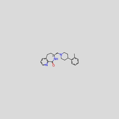 Cc1ccccc1C1CCN(C[C@@H]2CCc3cccnc3C(=O)N2)CC1